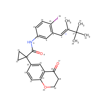 C/C(=C\c1cc(NC(=O)C2(c3ccc4c(c3)C(=O)CCO4)CC2)ccc1I)C(C)(C)C